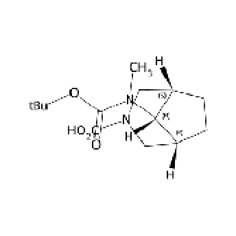 CN(C(=O)OC(C)(C)C)[C@H]1[C@@H]2CC[C@H]1CN(C(=O)O)C2